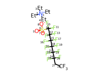 CC[N+](CC)(CC)CC.O=S(=O)([O-])C(F)(F)C(F)(F)C(F)(F)C(F)(F)C(F)(F)C(F)(F)CC(F)(F)F